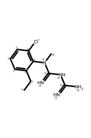 CCc1cccc(Cl)c1N(C)C(=N)NC(=N)N